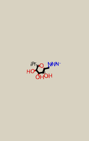 CC(C)[C@@H]1OC(CN=[N+]=[N-])[C@H](O)C(O)C1O